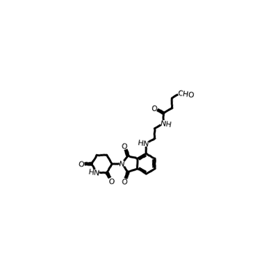 O=CCCC(=O)NCCNc1cccc2c1C(=O)N(C1CCC(=O)NC1=O)C2=O